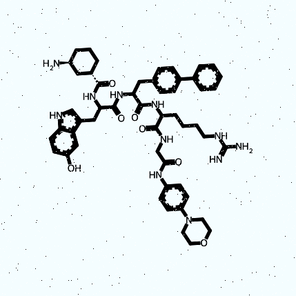 N=C(N)NCCCCC(NC(=O)C(Cc1ccc(-c2ccccc2)cc1)NC(=O)C(Cc1c[nH]c2ccc(O)cc12)NC(=O)[C@H]1CCC[C@H](N)C1)C(=O)NCC(=O)Nc1ccc(N2CCOCC2)cc1